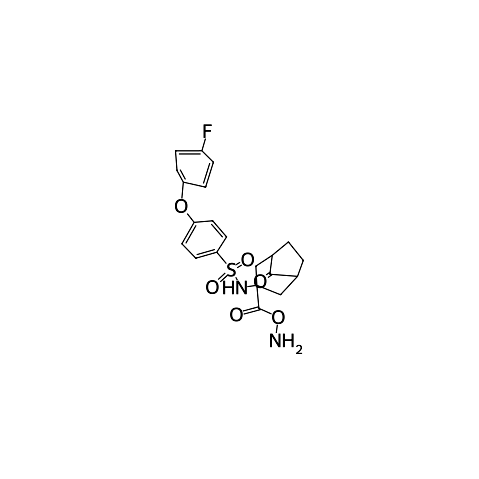 NOC(=O)C1(NS(=O)(=O)c2ccc(Oc3ccc(F)cc3)cc2)CC2CCC(C1)C2=O